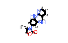 CC(C)C1COC(=O)N1c1ccc2c(c1)NCc1cccnc1N2